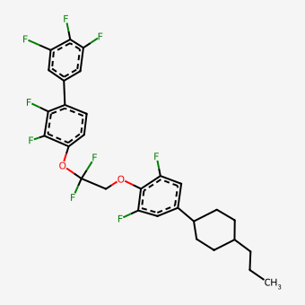 CCCC1CCC(c2cc(F)c(OCC(F)(F)Oc3ccc(-c4cc(F)c(F)c(F)c4)c(F)c3F)c(F)c2)CC1